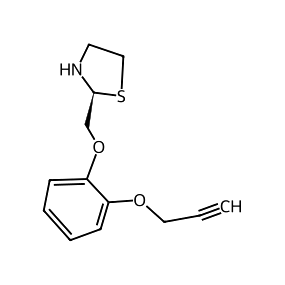 C#CCOc1ccccc1OC[C@H]1NCCS1